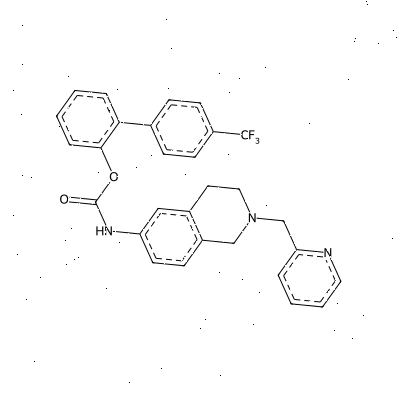 O=C(Nc1ccc2c(c1)CCN(Cc1ccccn1)C2)Oc1ccccc1-c1ccc(C(F)(F)F)cc1